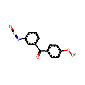 N#COc1ccc(C(=O)c2cccc(N=C=O)c2)cc1